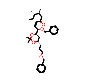 CC[C@H](C)[C@@H](C)CC(=O)/C=C\[C@@H](OCc1ccccc1)[C@H]1C[C@H](CCCOCc2ccccc2)OC(C)(C)O1